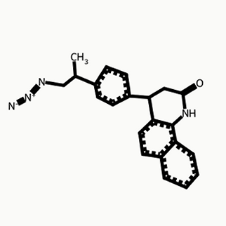 CC(CN=[N+]=[N-])c1ccc(C2CC(=O)Nc3c2ccc2ccccc32)cc1